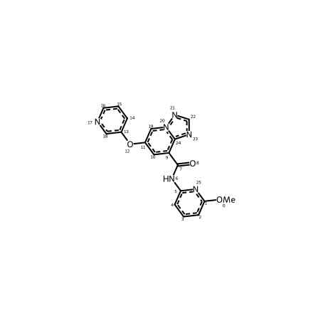 COc1cccc(NC(=O)c2cc(Oc3cccnc3)cn3ncnc23)n1